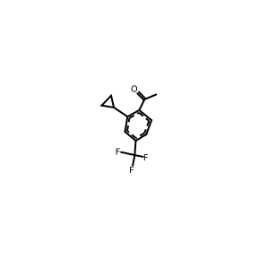 CC(=O)c1ccc(C(F)(F)F)cc1C1CC1